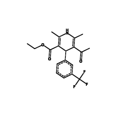 CCOC(=O)C1=C(C)NC(C)=C(C(C)=O)C1c1cccc(C(F)(F)F)c1